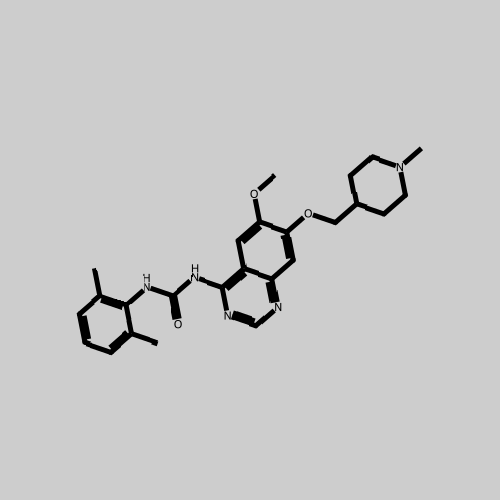 COc1cc2c(NC(=O)Nc3c(C)cccc3C)ncnc2cc1OCC1CCN(C)CC1